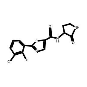 O=C(NC1CCNC1=O)c1cnc(-c2cccc(Cl)c2F)s1